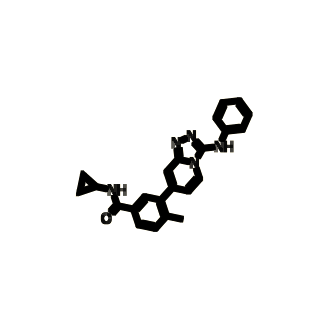 Cc1ccc(C(=O)NC2CC2)cc1-c1ccn2c(Nc3ccccc3)nnc2c1